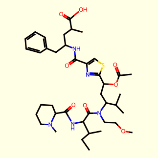 CCC(C)C(NC(=O)C1CCCCN1C)C(=O)N(CCOC)C(CC(OC(C)=O)c1nc(C(=O)NC(Cc2ccccc2)CC(C)C(=O)O)cs1)C(C)C